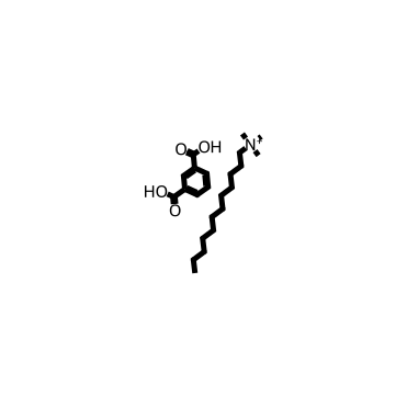 CCCCCCCCCCCC[N+](C)(C)C.O=C(O)c1cccc(C(=O)O)c1